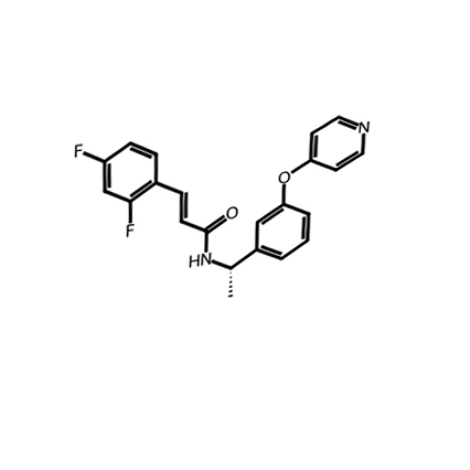 C[C@H](NC(=O)/C=C/c1ccc(F)cc1F)c1cccc(Oc2ccncc2)c1